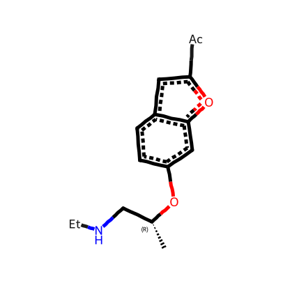 CCNC[C@@H](C)Oc1ccc2cc(C(C)=O)oc2c1